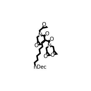 CCCCCCCCCCCCCCCCC=C(C(=O)N(CC1CO1)CC1CO1)C(=O)N(CC1CO1)CC1CO1